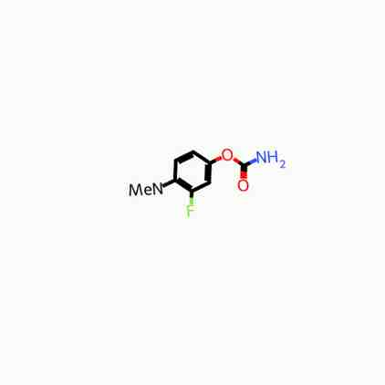 CNc1ccc(OC(N)=O)cc1F